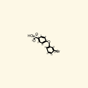 O=S(=O)(O)c1ccc(Oc2cccc(Br)c2)cc1